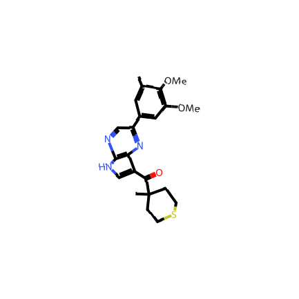 COc1cc(-c2cnc3[nH]cc(C(=O)C4(C)CCSCC4)c3n2)cc(C)c1OC